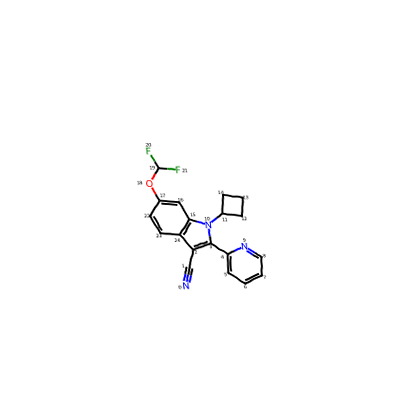 N#Cc1c(-c2ccccn2)n(C2CCC2)c2cc(OC(F)F)ccc12